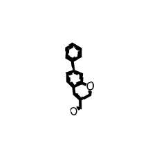 O=CC1=Cc2ccc(-c3ccccc3)cc2OC1